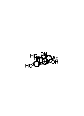 CC(=O)[C@@]1(O)CC[C@H]2[C@@H]3[C@H](O)[C@H](O)[C@H]4C[C@@H](O)CC[C@]4(C)[C@H]3CC[C@@]21C